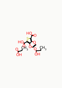 CCC(=O)O.CCC(=O)O.O=C(O)c1sc(C(=O)O)c2c1OC=CO2